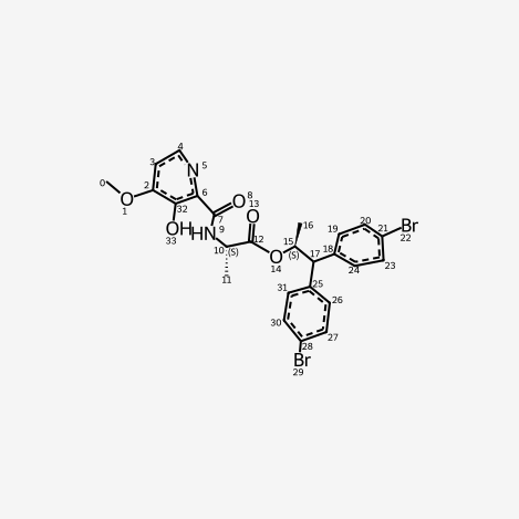 COc1ccnc(C(=O)N[C@@H](C)C(=O)O[C@@H](C)C(c2ccc(Br)cc2)c2ccc(Br)cc2)c1O